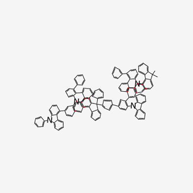 CC1(C)c2ccccc2-c2c(N(c3ccc(-c4cc(-c5ccc(C6(c7ccccc7)c7ccccc7-c7cc(N(c8cccc(-c9cccc%10c9c9ccccc9n%10-c9ccccc9)c8)c8cccc(-c9ccccc9)c8-c8ccccc8-c8ccccc8)ccc76)cc5)ccc4-n4c5ccccc5c5ccccc54)cc3)c3cccc(-c4ccccc4)c3-c3ccccc3-c3ccccc3)cccc21